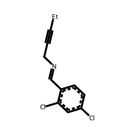 CCC#CC/N=C/c1ccc(Cl)cc1Cl